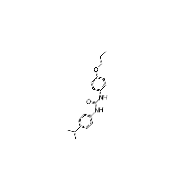 CCCOc1ccc(NC(=O)Nc2ccc(C(C)C)cc2)cc1